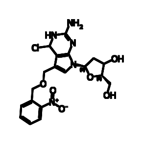 NC1=Nc2c(c(COCc3ccccc3[N+](=O)[O-])cn2[C@H]2CC(O)[C@@H](CO)O2)C(Cl)N1